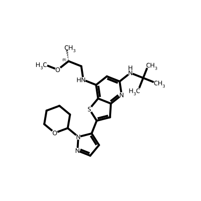 CO[C@H](C)CNc1cc(NC(C)(C)C)nc2cc(-c3ccnn3C3CCCCO3)sc12